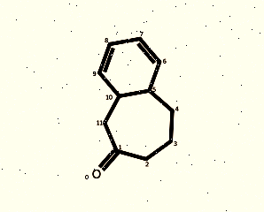 O=C1CCCC2C=CC=CC2C1